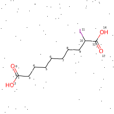 O=C(O)CCCCCCCC(I)C(=O)O